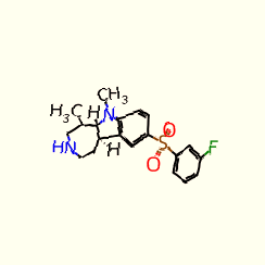 CC1CNCC[C@@H]2c3cc(S(=O)(=O)c4cccc(F)c4)ccc3N(C)[C@@H]12